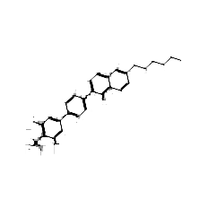 CCCCCCc1ccc2c(F)c(-c3ccc(-c4cc(F)c(C(F)(F)F)c(F)c4)cc3)ccc2c1